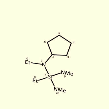 CCN(C1CCCC1)[Si](CC)(NC)NC